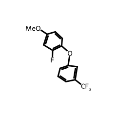 COc1ccc(Oc2cccc(C(F)(F)F)c2)c(F)c1